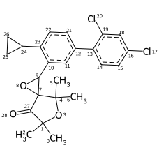 CC1(C)OC(C)(C)C2(OC2c2cc(-c3ccc(Cl)cc3Cl)ccc2C2CC2)C1=O